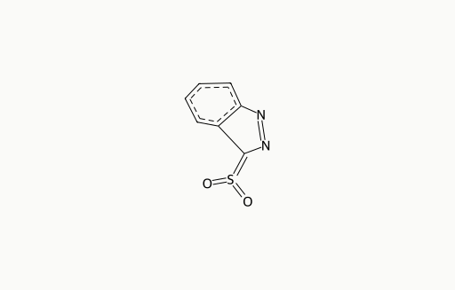 O=S(=O)=C1N=Nc2ccccc21